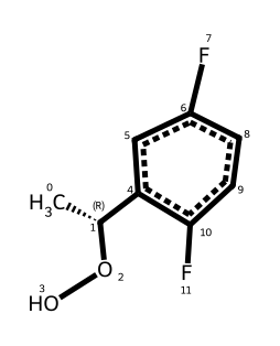 C[C@@H](OO)c1cc(F)ccc1F